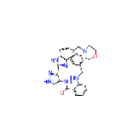 O=C(Nc1c[nH]nc1-c1nc2cc(CN3CCOCC3)ccc2[nH]1)c1ccccc1NCc1ccccc1